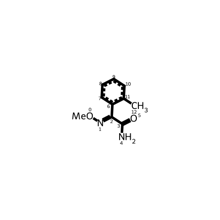 CO/N=C(/C(N)=O)c1ccccc1C